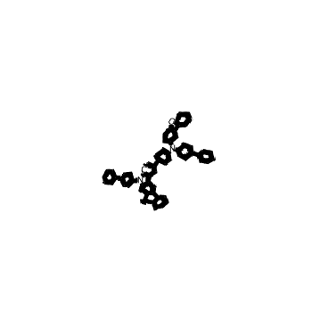 CC1(C)c2ccccc2-c2cc3c4cc(-c5ccc(N(c6ccc(-c7ccccc7)cc6)c6ccc7oc8ccccc8c7c6)cc5)ccc4n(-c4ccc(-c5ccccc5)cc4)c3cc21